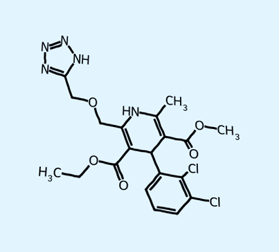 CCOC(=O)C1=C(COCc2nnn[nH]2)NC(C)=C(C(=O)OC)C1c1cccc(Cl)c1Cl